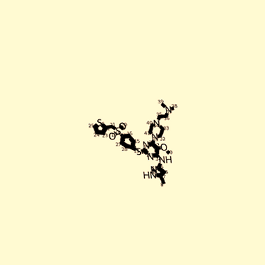 COc1c(Nc2cc(C)[nH]n2)nc(Sc2ccc(S(=O)(=O)Cc3cccs3)cc2)nc1N1CCN(CCN(C)C)CC1